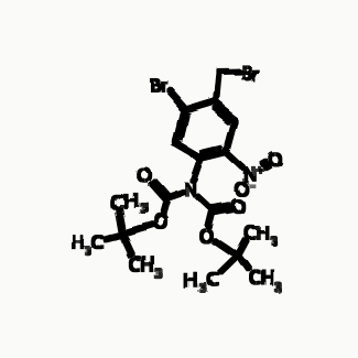 CC(C)(C)OC(=O)N(C(=O)OC(C)(C)C)c1cc(Br)c(CBr)cc1[N+](=O)[O-]